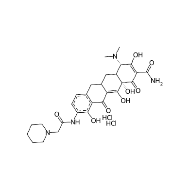 CN(C)[C@@H]1C(O)=C(C(N)=O)C(=O)[C@@]2(O)C(O)=C3C(=O)c4c(ccc(NC(=O)CN5CCCCC5)c4O)CC3CC12.Cl.Cl